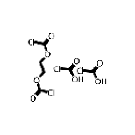 O=C(Cl)OCCOC(=O)Cl.O=C(O)Cl.O=C(O)Cl